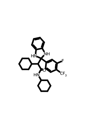 O=C(NC1CCCCC1)C(C1CCCCC1)C1(c2ccc(C(F)(F)F)c(F)c2)Nc2ccccc2N1